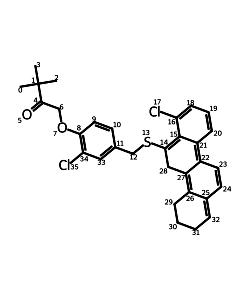 CC(C)(C)C(=O)COc1ccc(CSC2=c3c(Cl)cccc3=c3ccc4c(c3C2)CCCC=4)cc1Cl